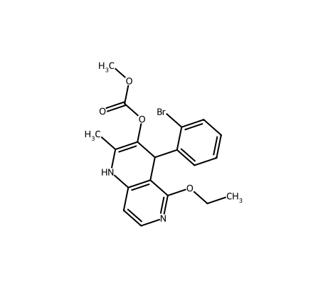 CCOc1nccc2c1C(c1ccccc1Br)C(OC(=O)OC)=C(C)N2